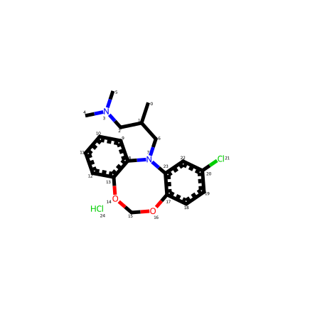 CC(CN(C)C)CN1c2ccccc2OCOc2ccc(Cl)cc21.Cl